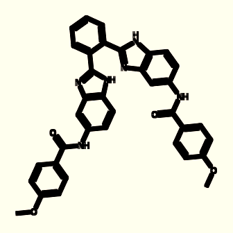 COc1ccc(C(=O)Nc2ccc3[nH]c(-c4ccccc4-c4nc5cc(NC(=O)c6ccc(OC)cc6)ccc5[nH]4)nc3c2)cc1